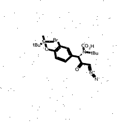 CC(C)(C)N(C(=O)O)[C@H](C(=O)C=[N+]=[N-])c1ccc(O[Si](C)(C)C(C)(C)C)c(Br)c1